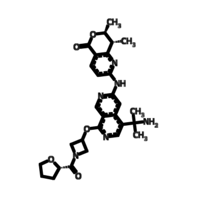 C[C@@H]1OC(=O)c2ccc(Nc3cc4c(C(C)(C)N)cnc(OC5CN(C(=O)[C@@H]6CCCO6)C5)c4cn3)nc2[C@H]1C